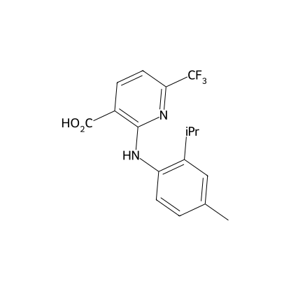 Cc1ccc(Nc2nc(C(F)(F)F)ccc2C(=O)O)c(C(C)C)c1